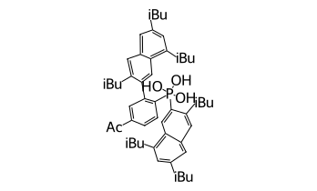 CCC(C)c1cc(C(C)CC)c2cc(-c3cc(C(C)=O)ccc3P(O)(O)(O)c3cc4c(C(C)CC)cc(C(C)CC)cc4cc3C(C)CC)c(C(C)CC)cc2c1